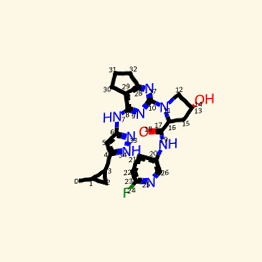 CC1CC1c1cc(Nc2nc(N3CC(O)CC3C(=O)Nc3ccc(F)nc3)nc3c2CCC3)n[nH]1